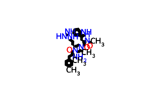 CC(=O)N[C@H](Cc1c[nH]c2ccccc12)C(=O)N1C[C@H](CCCNC(=N)N)N(C(=O)[C@H](N)Cc2ccc(C)cc2C)C[C@H]1C